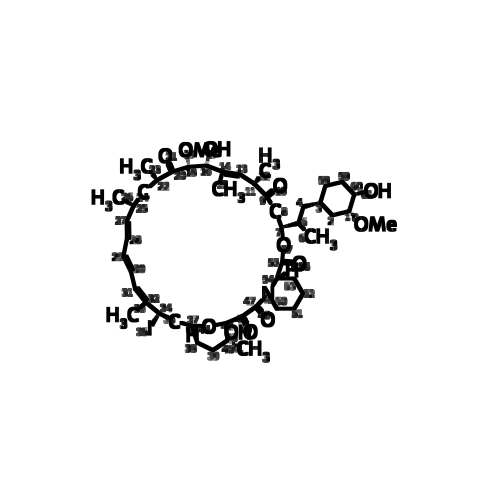 CO[C@@H]1C[C@@H](CC(C)[C@@H]2CC(=O)[C@H](C)/C=C(\C)[C@@H](O)[C@@H](OC)C(=O)[C@H](C)C[C@H](C)/C=C/C=C/C=C(/C)[C@H](I)C[C@@H]3CC[C@@H](C)[C@@](O)(O3)C(=O)C(=O)N3CCCC[C@H]3C(=O)O2)CC[C@H]1O